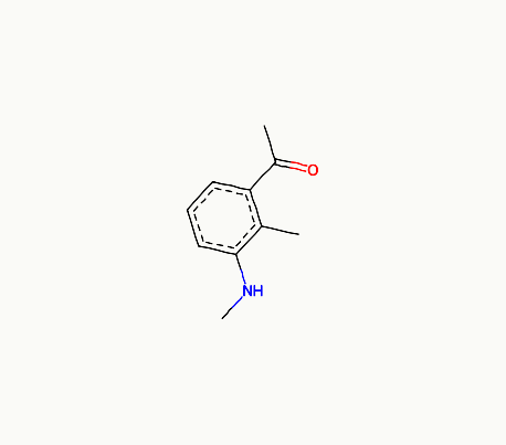 CNc1cccc(C(C)=O)c1C